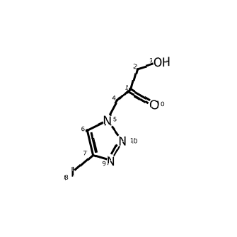 O=C(CO)Cn1cc(I)nn1